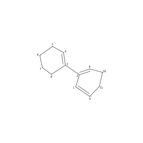 [C]1=CC(C2=CCCCC2)=CCC1